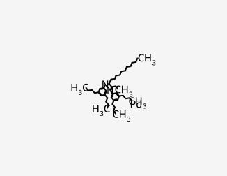 CCCCCCCCCCC=CC(=Nc1cc(CCCC)cc(CCCC)c1)C(CC)=Nc1cc(CCCC)cc(CCCC)c1.[Pd]